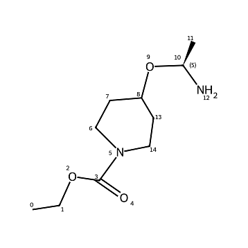 CCOC(=O)N1CCC(O[C@@H](C)N)CC1